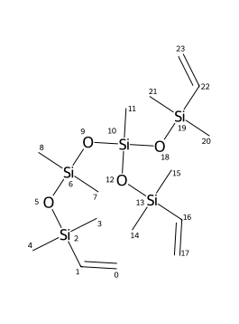 C=C[Si](C)(C)O[Si](C)(C)O[Si](C)(O[Si](C)(C)C=C)O[Si](C)(C)C=C